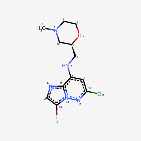 CN1CCO[C@@H](CNc2cc(Cl)nn3c(I)cnc23)C1